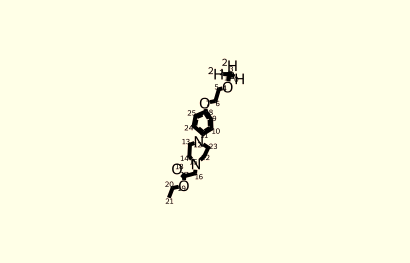 [2H]C([2H])([2H])OCCOc1ccc(N2CCN(CC(=O)OCC)CC2)cc1